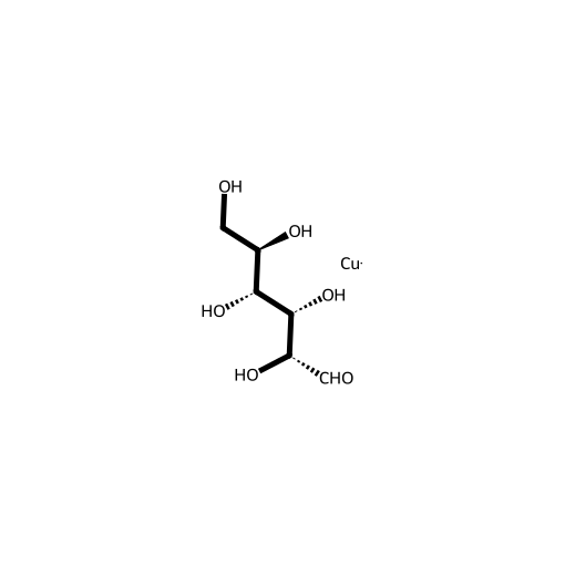 O=C[C@H](O)[C@@H](O)[C@H](O)[C@H](O)CO.[Cu]